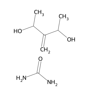 C=C(C(C)O)C(C)O.NC(N)=O